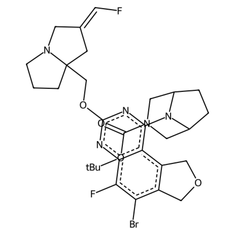 CC(C)(C)OC(=O)N1CC2CCC(C1)N2c1nc(OCC23CCCN2CC(=CF)C3)nc2c(F)c(Br)c3c(c12)COC3